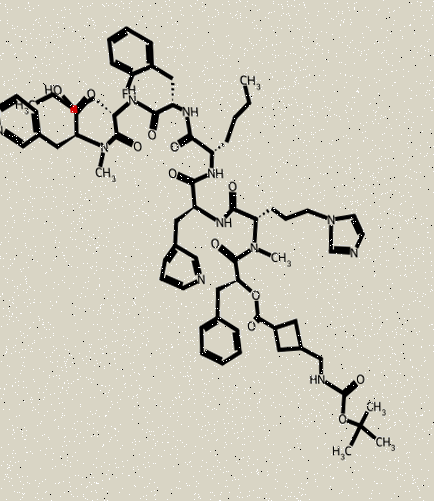 CCCC[C@H](NC(=O)[C@H](Cc1cccnc1)NC(=O)[C@H](CCCn1ccnc1)N(C)C(=O)[C@H](Cc1ccccc1)OC(=O)C1CC(CNC(=O)OC(C)(C)C)C1)C(=O)N[C@@H](Cc1ccccc1F)C(=O)N[C@@H](CCCC)C(=O)N(C)[C@@H](Cc1cccnc1)C(=O)O